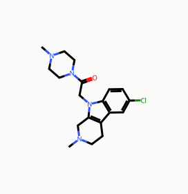 CN1CCN(C(=O)Cn2c3c(c4cc(Cl)ccc42)CCN(C)C3)CC1